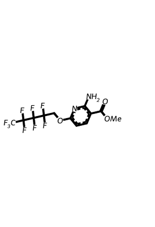 COC(=O)c1ccc(OCC(F)(F)C(F)(F)C(F)(F)C(F)(F)F)nc1N